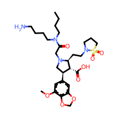 CCCCN(CCCCN)C(=O)CN1C[C@H](c2cc(OC)c3c(c2)OCO3)[C@@H](C(=O)O)[C@@H]1CCN1CCCS1(=O)=O